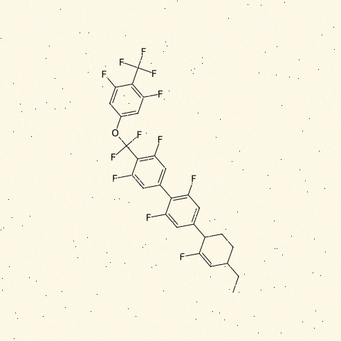 CCC1C=C(F)C(c2cc(F)c(-c3cc(F)c(C(F)(F)Oc4cc(F)c(C(F)(F)F)c(F)c4)c(F)c3)c(F)c2)CC1